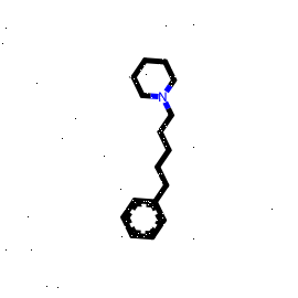 [CH]1CCCN(CCCCCc2ccccc2)C1